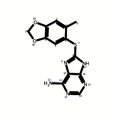 Cc1cc2c(cc1Sc1nc3c(N)ncnc3[nH]1)OCO2